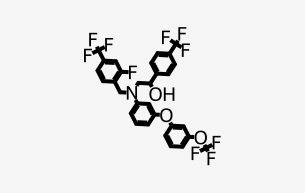 OC(CN(Cc1ccc(C(F)(F)F)cc1F)c1cccc(Oc2cccc(OC(F)(F)F)c2)c1)c1ccc(C(F)(F)F)cc1